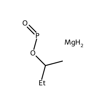 CCC(C)OP=O.[MgH2]